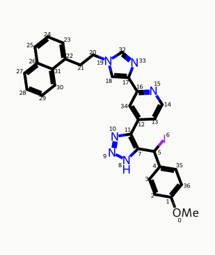 COc1ccc(C(I)c2[nH]nnc2-c2ccnc(-c3cn(CCc4cccc5ccccc45)cn3)c2)cc1